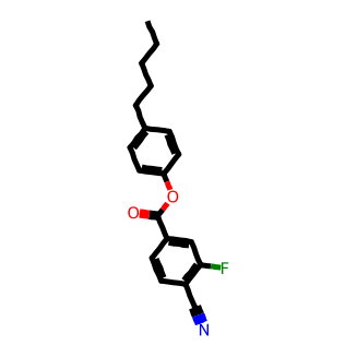 CCCCCc1ccc(OC(=O)c2ccc(C#N)c(F)c2)cc1